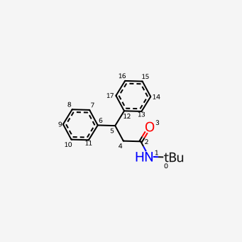 CC(C)(C)NC(=O)CC(c1ccccc1)c1ccccc1